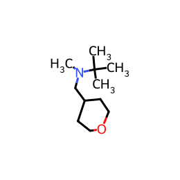 CN(CC1CCOCC1)C(C)(C)C